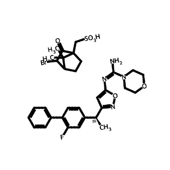 CC1(C)C2CCC1(CS(=O)(=O)O)C(=O)C2Br.C[C@@H](c1ccc(-c2ccccc2)c(F)c1)c1cc(N=C(N)N2CCOCC2)on1